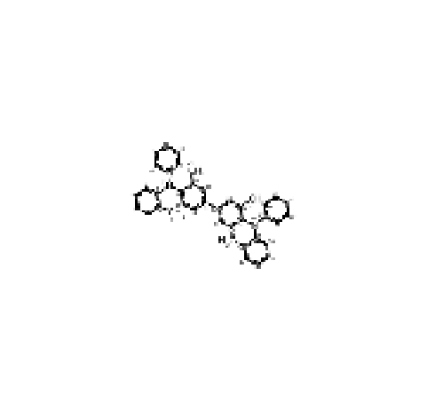 Cc1ccccc1N(c1ccccc1)c1ccc(-c2ccc(N(c3ccccc3)c3ccccc3C)c(C)c2)cc1C